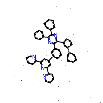 c1ccc(-c2cccc(-c3nc(-c4ccccc4)c(-c4ccccc4)nc3-c3cccc(-c4cc(-c5ccccn5)nc(-c5ccccn5)c4)c3)c2)cc1